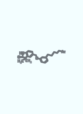 CC(=O)CCCCCc1cccc(OCc2ccc3c(c2)C(C)(C)C(=O)N3)c1